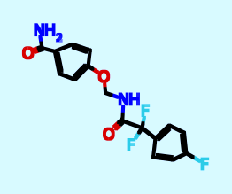 NC(=O)c1ccc(OCNC(=O)C(F)(F)c2ccc(F)cc2)cc1